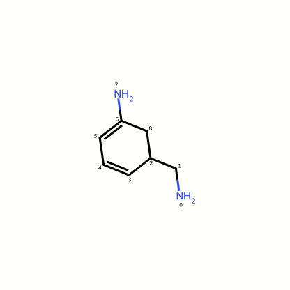 NCC1C=CC=C(N)C1